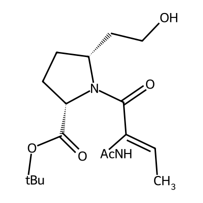 CC=C(NC(C)=O)C(=O)N1[C@@H](CCO)CC[C@H]1C(=O)OC(C)(C)C